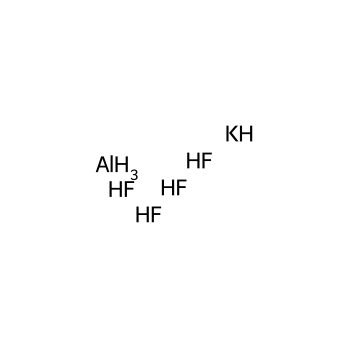 F.F.F.F.[AlH3].[KH]